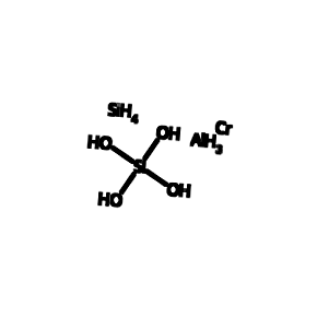 O[Si](O)(O)O.[AlH3].[Cr].[SiH4]